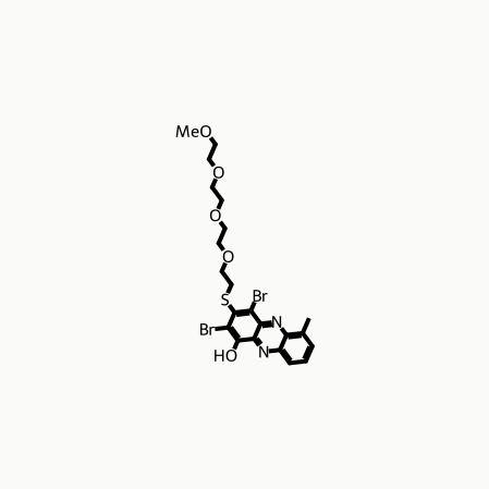 COCCOCCOCCOCCSc1c(Br)c(O)c2nc3cccc(C)c3nc2c1Br